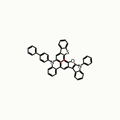 c1ccc(-c2ccc(N(c3ccc4sc5ccccc5c4c3)c3ccccc3-c3ccc4oc5c(c4c3)c3ccccc3n5-c3ccccc3)cc2)cc1